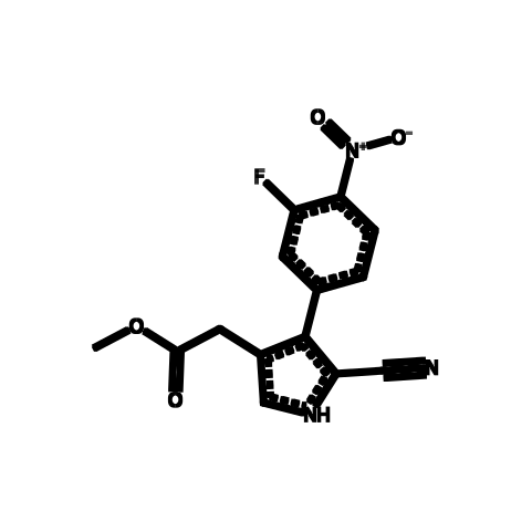 COC(=O)Cc1c[nH]c(C#N)c1-c1ccc([N+](=O)[O-])c(F)c1